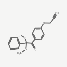 C#CCOc1ccc(C(=O)C(OC)(OC)c2ccccc2)cc1